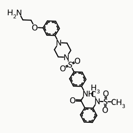 CN(c1ccccc1C(=O)Nc1ccc(S(=O)(=O)N2CCN(c3cccc(OCCN)c3)CC2)cc1)S(C)(=O)=O